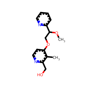 COC(COc1ccnc(CO)c1C)c1ccccn1